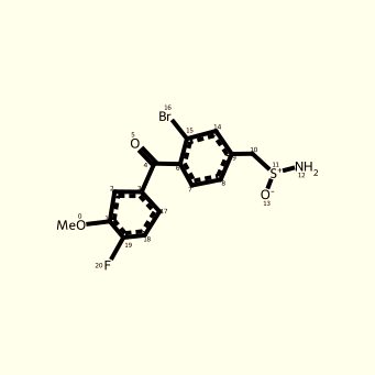 COc1cc(C(=O)c2ccc(C[S+](N)[O-])cc2Br)ccc1F